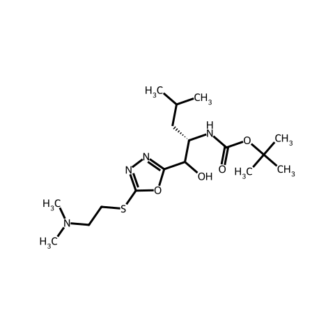 CC(C)C[C@H](NC(=O)OC(C)(C)C)C(O)c1nnc(SCCN(C)C)o1